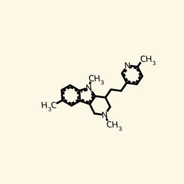 Cc1ccc2c(c1)c1c(n2C)C(CCc2ccc(C)nc2)CN(C)C1